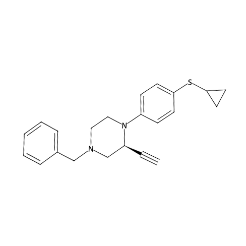 C#C[C@H]1CN(Cc2ccccc2)CCN1c1ccc(SC2CC2)cc1